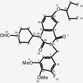 COc1cc(Cn2c(=O)c3cc(OC(CF)CF)ccc3n(C3CCN(C=O)CC3)c2=O)cc(F)c1OC